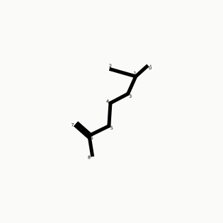 [CH2]C(C)CCCC(=C)C